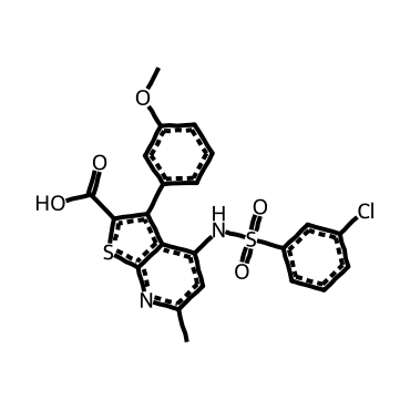 COc1cccc(-c2c(C(=O)O)sc3nc(C)cc(NS(=O)(=O)c4cccc(Cl)c4)c23)c1